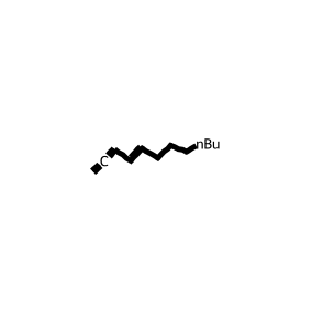 C=C=CC=CCCCCCCC